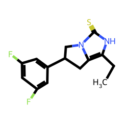 CCc1[nH]c(=S)n2c1CC(c1cc(F)cc(F)c1)C2